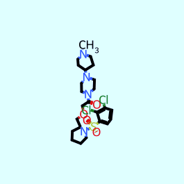 CN1CCC(N2CCN(C(=O)COCC3CCCCN3S(=O)(=O)c3cccc(Cl)c3Cl)CC2)CC1